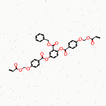 C=CC(=O)OCOc1ccc(C(=O)Oc2ccc(OC(=O)c3ccc(OCOC(=O)C=C)cc3)c(C(=O)OCc3ccccc3)c2)cc1